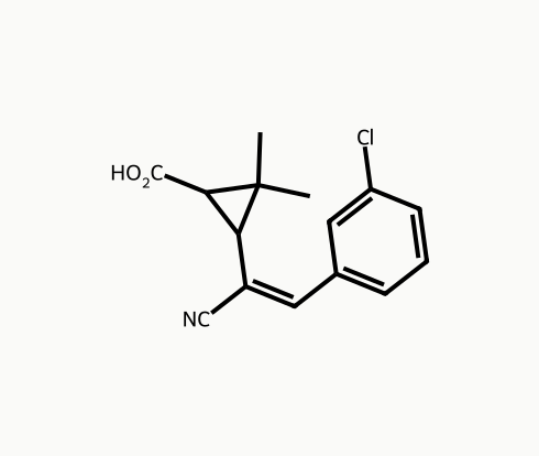 CC1(C)C(C(=O)O)C1/C(C#N)=C\c1cccc(Cl)c1